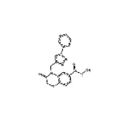 O=C(NO)c1ccc2c(c1)N(Cc1cn(-c3ccccc3)nn1)C(=O)CO2